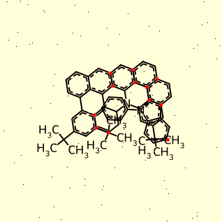 CC(C)(C)c1cc(-c2cccc3cccc(C4=CC=CCC4N(c4cc(C(C)(C)C)ccc4-c4ccccc4)c4ccccc4-c4cccc5c6ccccc6n(-c6ccccc6)c45)c23)cc(C(C)(C)C)c1